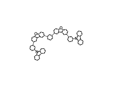 c1cc(-c2ccc3oc4ccc(-c5cccc(-n6c7ccccc7c7ccccc76)c5)cc4c3c2)cc(-c2ccc3oc4ccc(-c5cccc(-n6c7ccccc7c7ccccc76)c5)cc4c3c2)c1